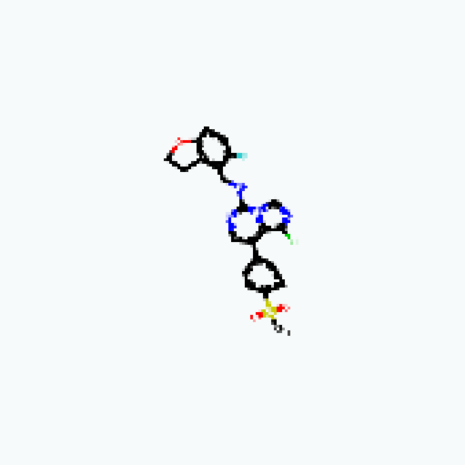 CS(=O)(=O)c1ccc(-c2cnc(NCc3c(F)ccc4c3CCO4)n3cnc(Cl)c23)cc1